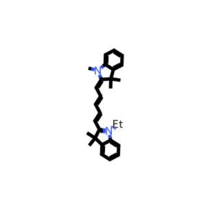 CC[N+]1=C(/C=C/C=C/C=C2/N(C)c3ccccc3C2(C)C)C(C)(C)c2ccccc21